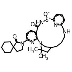 CC1(C)CC2CCCNc3cccc(n3)[S+]([O-])NC(=O)c3ccc(N4CCC5(CCCCC5)C4=O)nc3N1C2